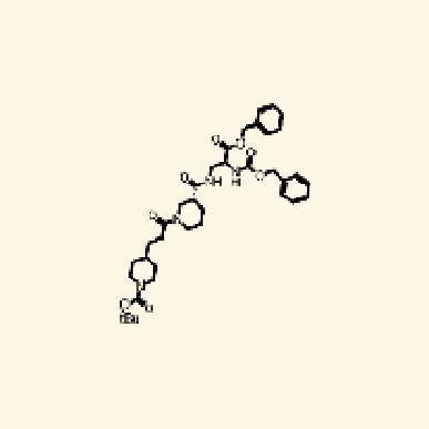 CC(C)(C)OC(=O)N1CCC(CCC(=O)N2CCC[C@@H](C(=O)NCC(NC(=O)OCc3ccccc3)C(=O)OCc3ccccc3)C2)CC1